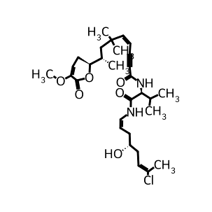 COC1=CC[C@@H]([C@@H](C)CC(C)(C)/C=C\C#CC(=O)N[C@H](C(=O)N/C=C\C[C@@H](O)C/C=C(\C)Cl)C(C)C)OC1=O